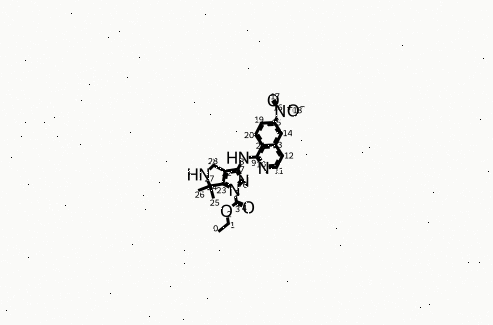 CCOC(=O)n1nc(Nc2nccc3cc([N+](=O)[O-])ccc23)c2c1C(C)(C)NC2